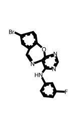 Fc1cccc(Nc2ncnc3c2N=Cc2cc(Br)ccc2O3)c1